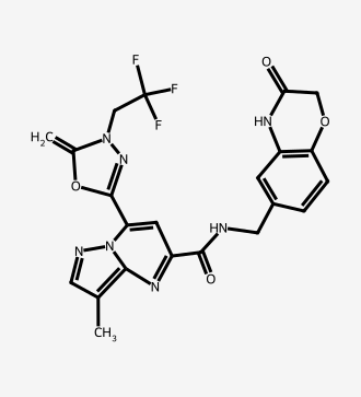 C=C1OC(c2cc(C(=O)NCc3ccc4c(c3)NC(=O)CO4)nc3c(C)cnn23)=NN1CC(F)(F)F